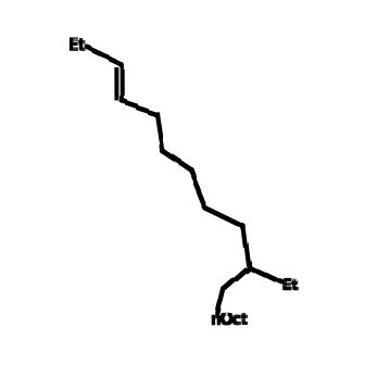 [CH2]CC=CCCCCCC(CC)CCCCCCCC[CH2]